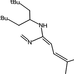 C=N/C(=C\C=C(C)C)NC(CC(C)(C)C)CC(C)(C)C